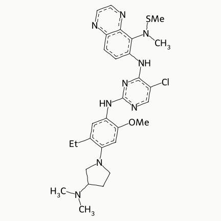 CCc1cc(Nc2ncc(Cl)c(Nc3ccc4nccnc4c3N(C)SC)n2)c(OC)cc1N1CCC(N(C)C)C1